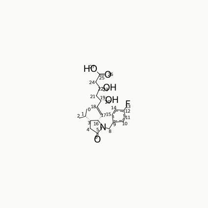 CC(C)[C@H]1CC(=O)N(Cc2ccc(F)cc2)[C@H]1C=C[C@@H](O)C[C@@H](O)CC(=O)O